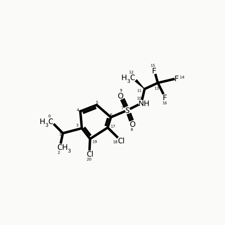 CC(C)c1ccc(S(=O)(=O)N[C@@H](C)C(F)(F)F)c(Cl)c1Cl